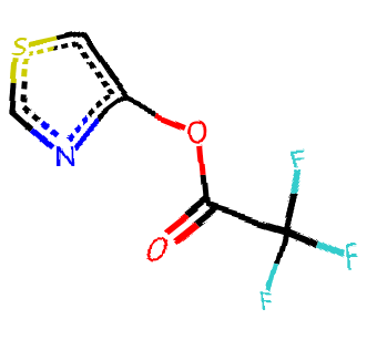 O=C(Oc1cscn1)C(F)(F)F